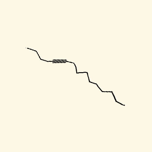 [CH2]CCC#CCCCCCCCCC